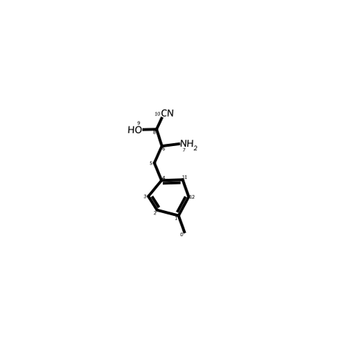 Cc1ccc(CC(N)C(O)C#N)cc1